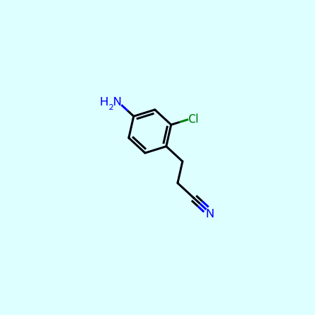 N#CCCc1ccc(N)cc1Cl